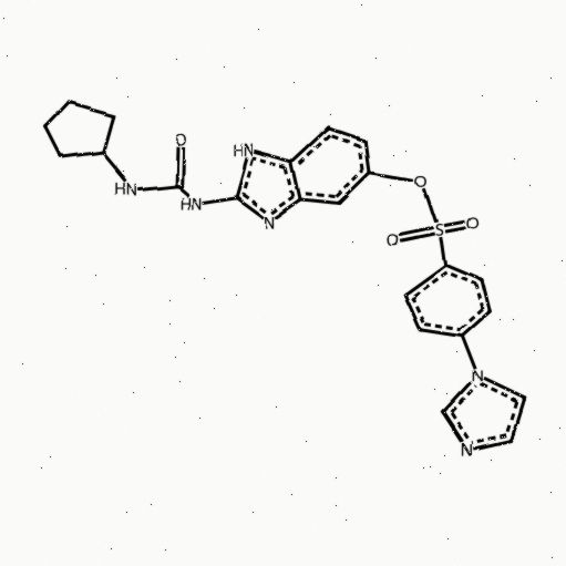 O=C(Nc1nc2cc(OS(=O)(=O)c3ccc(-n4ccnc4)cc3)ccc2[nH]1)NC1CCCC1